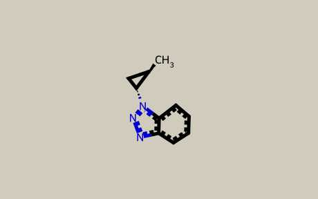 C[C@@H]1C[C@H]1n1nnc2ccccc21